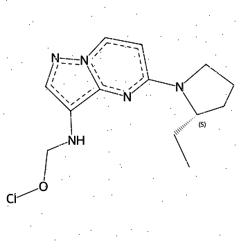 CC[C@H]1CCCN1c1ccn2ncc(NCOCl)c2n1